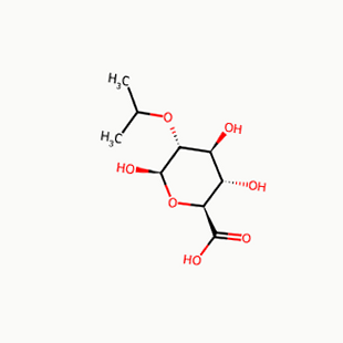 CC(C)O[C@@H]1[C@@H](O)[C@H](O)[C@@H](C(=O)O)O[C@H]1O